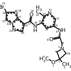 COC1(C)CN(CC(=O)Nc2cnc(C)c(NC(=O)c3cnn4cc(Br)sc34)c2)C1